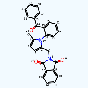 Cc1ccc(CN2C(=O)c3ccccc3C2=O)n1-c1ccccc1C(=O)c1ccccc1